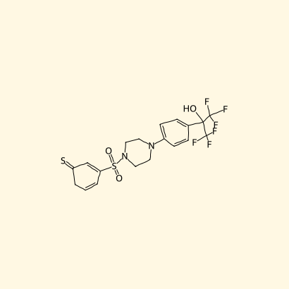 O=S(=O)(C1=CC(=S)CC=C1)N1CCN(c2ccc(C(O)(C(F)(F)F)C(F)(F)F)cc2)CC1